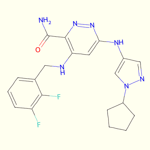 NC(=O)c1nnc(Nc2cnn(C3CCCC3)c2)cc1NCc1cccc(F)c1F